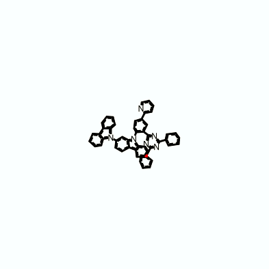 c1ccc(-c2nc(-c3ccccc3)nc(-c3cc(-c4ccccn4)ccc3-n3c4ccccc4c4ccc(-n5c6ccccc6c6ccccc65)cc43)n2)cc1